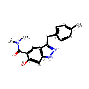 CCCN(C)C(=O)c1cc2c(Cc3ccc(C)cc3)n[nH]c2cc1O